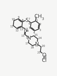 CC1C=CC=CC1SC1=CCCC=C1/N=C/N1CCN(CCOCl)CC1